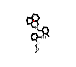 COCOc1ccccc1Pc1c(C)cccc1CN(Cc1ccccc1)Cc1ccccc1